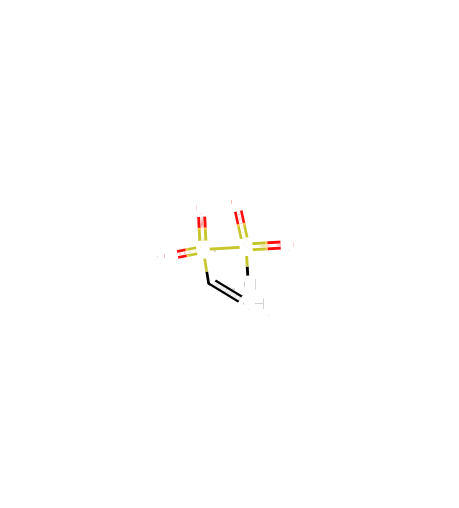 C=CS(=O)(=O)S(C)(=O)=O